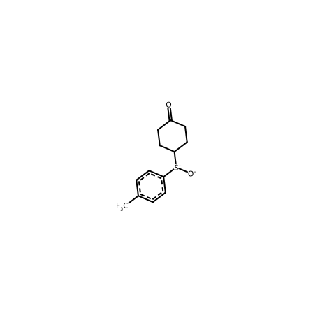 O=C1CCC([S+]([O-])c2ccc(C(F)(F)F)cc2)CC1